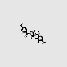 CCc1ccc(C(=O)N2C[C@@H]3C[C@H]2CN3[C@@H](C)c2ccc(OC)c(C)c2C)nc1